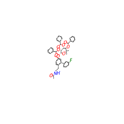 CC(=O)NCCc1ccc(O[C@H]2OC(C)(C)[C@H](OC(=O)c3ccccc3)[C@@H](OC(=O)c3ccccc3)[C@H]2OC(=O)c2ccccc2)cc1-c1cccc(F)c1